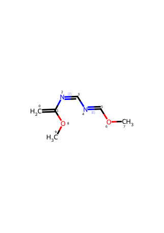 C=C(/N=C\N=C\OC)OC